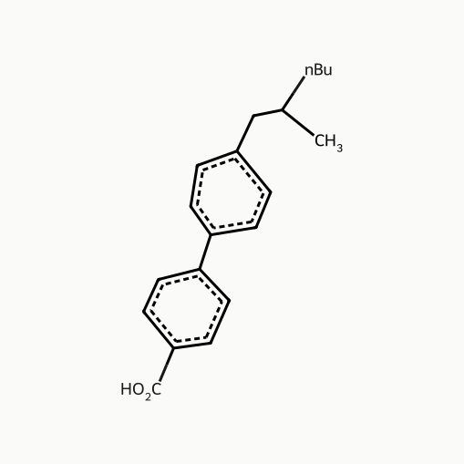 CCCCC(C)Cc1ccc(-c2ccc(C(=O)O)cc2)cc1